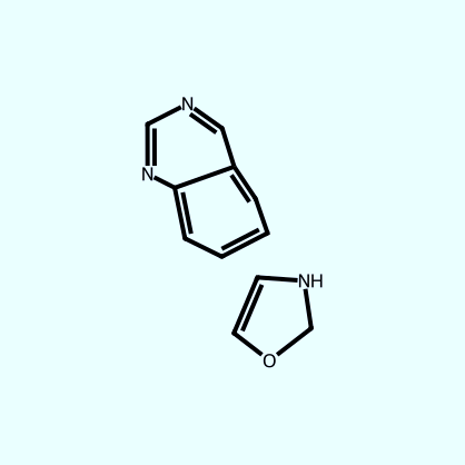 C1=COCN1.c1ccc2ncncc2c1